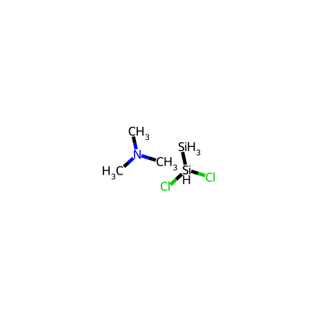 CN(C)C.[SiH3][SiH](Cl)Cl